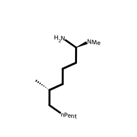 CCCCCC[C@H](C)CCC[C@@H](N)NC